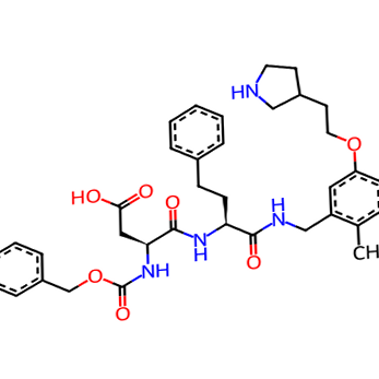 Cc1ccc(OCCC2CCNC2)cc1CNC(=O)[C@H](CCc1ccccc1)NC(=O)[C@H](CC(=O)O)NC(=O)OCc1ccccc1